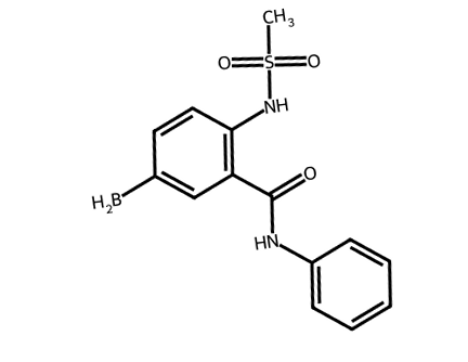 Bc1ccc(NS(C)(=O)=O)c(C(=O)Nc2ccccc2)c1